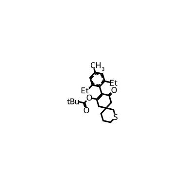 CCc1cc(C)cc(CC)c1C1=C(OC(=O)C(C)(C)C)CC2(CCCSC2)CC1=O